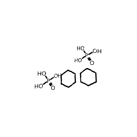 C1CCCCC1.C1CCCCC1.O=P(O)(O)O.O=P(O)(O)O